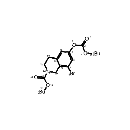 CC(C)(C)OC(=O)Oc1cc(Br)c2c(c1)CCN(C(=O)OC(C)(C)C)C2